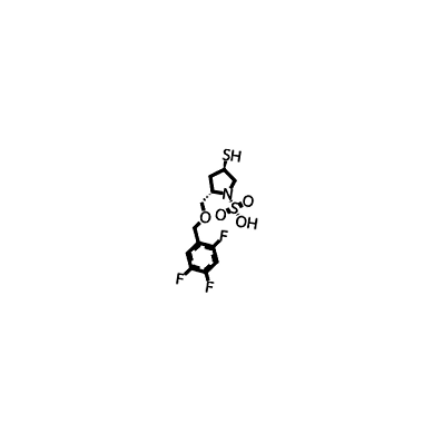 O=S(=O)(O)N1C[C@H](S)C[C@H]1COCc1cc(F)c(F)cc1F